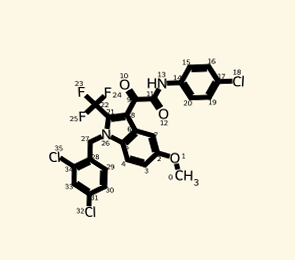 COc1ccc2c(c1)c(C(=O)C(=O)Nc1ccc(Cl)cc1)c(C(F)(F)F)n2Cc1ccc(Cl)cc1Cl